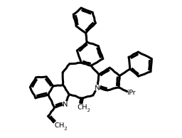 C=CC1=NC2C(=C)C[n+]3cc(C(C)C)c(-c4ccccc4)cc3-c3ccc(-c4ccccc4)cc3CCC2c2ccccc21